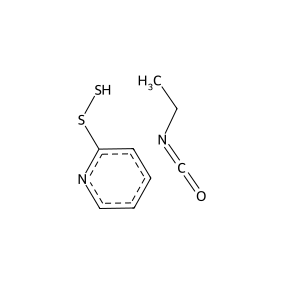 CCN=C=O.SSc1ccccn1